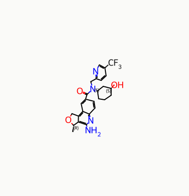 C[C@H]1OCc2c1c(N)nc1ccc(C(=O)N(Cc3ccc(C(F)(F)F)cn3)[C@H]3CCC[C@H](O)C3)cc21